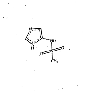 CS(=O)(=O)Nc1cnc[nH]1